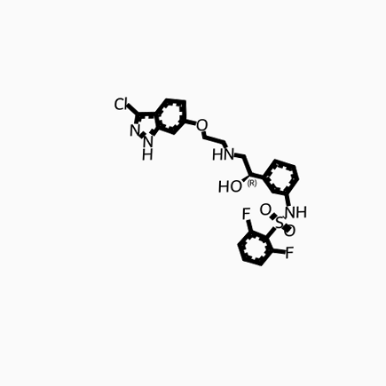 O=S(=O)(Nc1cccc([C@@H](O)CNCCOc2ccc3c(Cl)n[nH]c3c2)c1)c1c(F)cccc1F